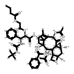 CCCC(=O)OCC(=O)O[C@@H](C(=O)O[C@H]1C[C@@]2(O)[C@@H](OC(=O)c3ccccc3)[C@@H]3[C@]4(OC(C)=O)CO[C@@H]4C[C@@H]4C[C@@]43C(=O)[C@H](OC(C)=O)C(=C1C)C2(C)C)[C@@H](NC(=O)OC(C)(C)C)c1ccccc1